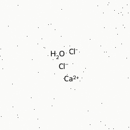 O.[Ca+2].[Cl-].[Cl-]